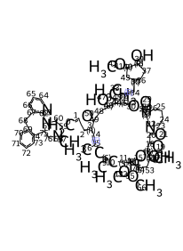 C=CC[C@@H]1/C=C(\C)C[C@H](C)C[C@H](OC)[C@H]2O[C@@](O)(C(=O)C(=O)N3CCCC[C@H]3C(=O)O[C@H](/C(C)=C/[C@@H]3CC[C@@H](O)[C@H](OC)C3)[C@H](C)[C@@H](O)CC1=O)[C@H](C)C[C@@H]2OC.CN1CCN2c3ncccc3Cc3ccccc3C2C1